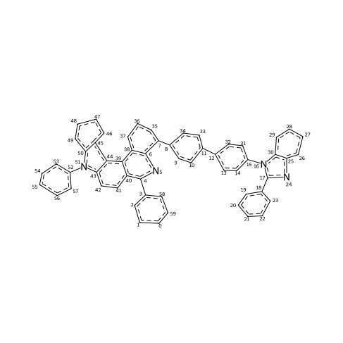 c1ccc(-c2nc3c(-c4ccc(-c5ccc(-n6c(-c7ccccc7)nc7ccccc76)cc5)cc4)cccc3c3c2ccc2c3c3ccccc3n2-c2ccccc2)cc1